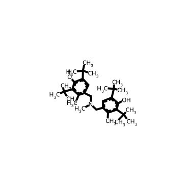 Cc1c(CN(C)Cc2cc(C(C)(C)C)c(O)c(C(C)(C)C)c2C)cc(C(C)(C)C)c(O)c1C(C)(C)C